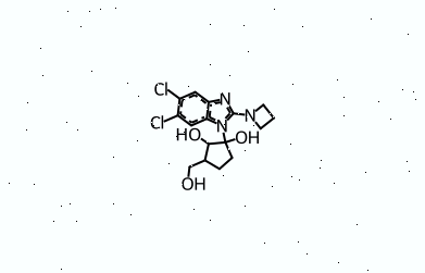 OCC1CCC(O)(n2c(N3CCC3)nc3cc(Cl)c(Cl)cc32)C1O